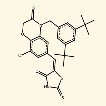 CC(C)(C)c1cc(CN2C(=O)COc3c(Cl)cc(/C=C4/SC(=S)NC4=O)cc32)cc(C(C)(C)C)c1